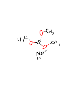 COB(OC)OC.[H-].[Na+]